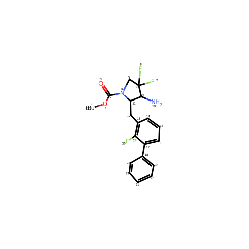 CC(C)(C)OC(=O)N1CC(F)(F)C(N)C1Cc1cccc(-c2ccccc2)c1F